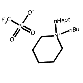 CCCCCCC[N+]1(CCCC)CCCCC1.O=S(=O)([O-])C(F)(F)F